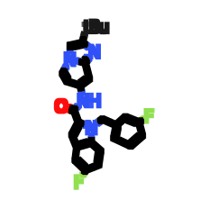 CC(C)(C)c1cn2ccc(NC(=O)c3cc4cc(F)ccc4n3Cc3cccc(F)c3)cc2n1